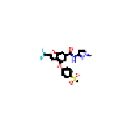 Cn1ccc(NC(=O)c2cc(Oc3ccc(S(C)(=O)=O)cc3)c3cc(C(F)F)oc3c2)n1